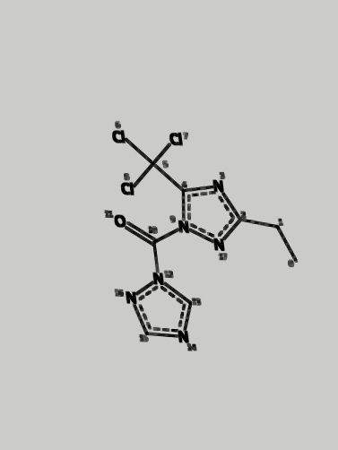 CCc1nc(C(Cl)(Cl)Cl)n(C(=O)n2cncn2)n1